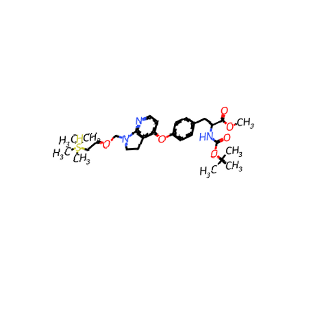 COC(=O)C(Cc1ccc(Oc2ccnc3c2CCN3COCC[SH](C)(C)(C)C)cc1)NC(=O)OC(C)(C)C